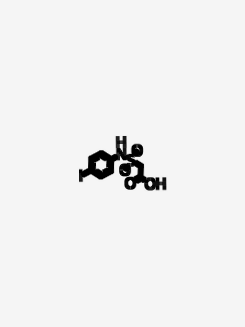 O=C(O)CS(=O)(=O)Nc1ccc(I)cc1